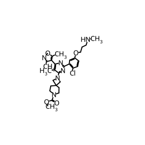 CNCCCOc1ccc(Cl)c(-c2nc(-c3c(C)noc3C)c(C)c(N3CC4(CCN(C(=O)OC)CC4)C3)n2)c1